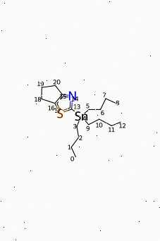 CCC[CH2][Sn]([CH2]CCC)([CH2]CCC)[c]1nc2c(s1)CCC2